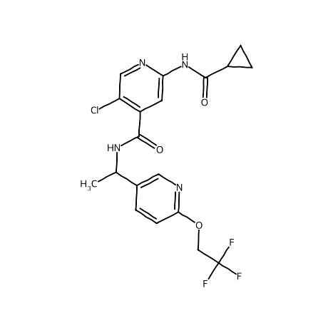 CC(NC(=O)c1cc(NC(=O)C2CC2)ncc1Cl)c1ccc(OCC(F)(F)F)nc1